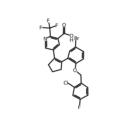 O=C(O)c1cc(C2=C(c3cc(Br)ccc3OCc3ccc(F)cc3Cl)CCC2)cnc1C(F)(F)F